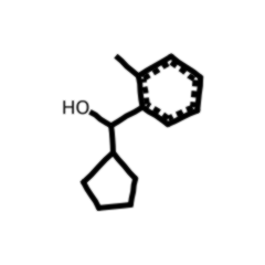 Cc1ccccc1C(O)C1CCCC1